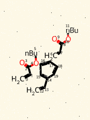 C=CC(=O)OCCCC.C=CC(=O)OCCCC.C=Cc1ccccc1